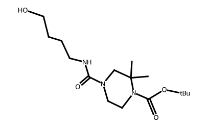 CC(C)(C)OC(=O)N1CCN(C(=O)NCCCCO)CC1(C)C